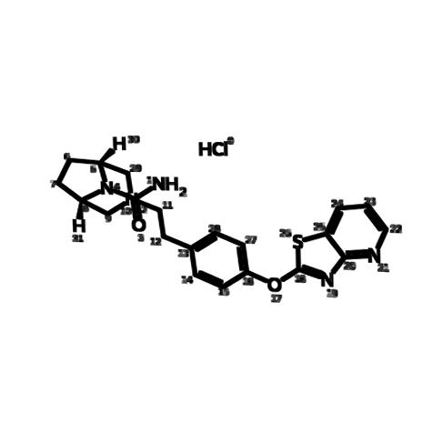 Cl.NC(=O)N1[C@@H]2CC[C@H]1CN(CCc1ccc(Oc3nc4ncccc4s3)cc1)C2